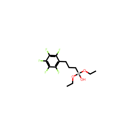 CCO[Si](O)(CCCc1c(F)c(F)c(F)c(F)c1F)OCC